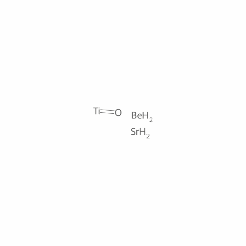 [BeH2].[O]=[Ti].[SrH2]